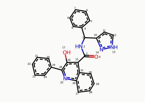 O=C(NC(c1ccccc1)c1cc[nH]n1)c1c(O)c(-c2ccccc2)nc2ccccc12